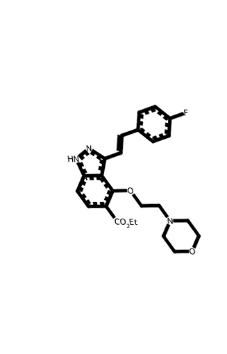 CCOC(=O)c1ccc2[nH]nc(C=Cc3ccc(F)cc3)c2c1OCCN1CCOCC1